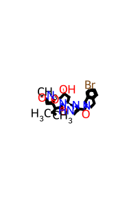 COc1cc(C(C(=O)N2C[C@H](O)C[C@H]2c2nc(C(=O)N3CCc4ccc(Br)cc4C3)c[nH]2)C(C)C)on1